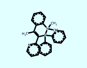 CC1=C(c2ccccn2)[B-](c2ccccn2)(c2ccccn2)[N+](C)(C)c2ccccc21